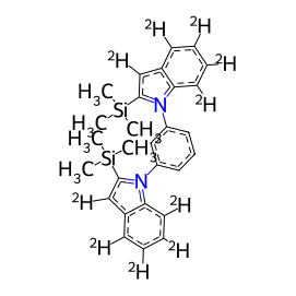 [2H]c1c([2H])c([2H])c2c(c1[2H])c([2H])c([Si](C)(C)C)n2-c1cccc(-n2c([Si](C)(C)C)c([2H])c3c([2H])c([2H])c([2H])c([2H])c32)c1